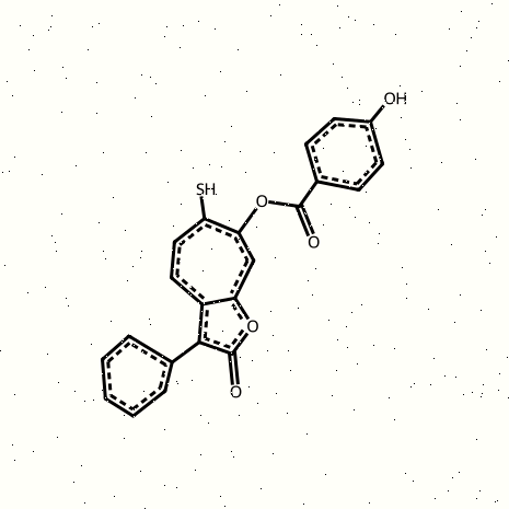 O=C(Oc1cc2oc(=O)c(-c3ccccc3)c-2ccc1S)c1ccc(O)cc1